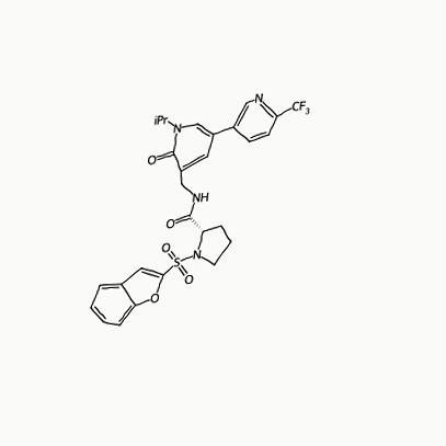 CC(C)n1cc(-c2ccc(C(F)(F)F)nc2)cc(CNC(=O)[C@@H]2CCCN2S(=O)(=O)c2cc3ccccc3o2)c1=O